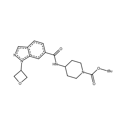 CC(C)(C)OC(=O)N1CCC(NC(=O)c2ccc3cnn(C4COC4)c3c2)CC1